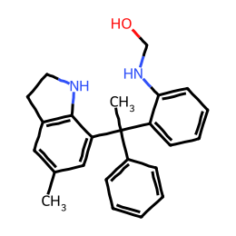 Cc1cc2c(c(C(C)(c3ccccc3)c3ccccc3NCO)c1)NCC2